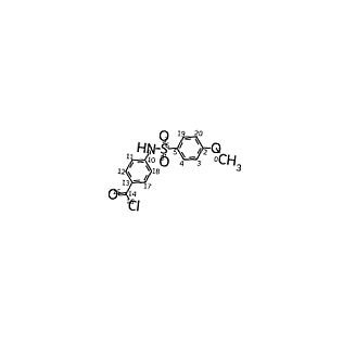 COc1ccc(S(=O)(=O)Nc2ccc(C(=O)Cl)cc2)cc1